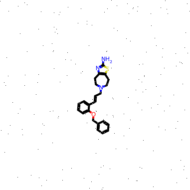 Nc1nc2c(s1)CCN(CC=Cc1ccccc1OCc1ccccc1)CC2